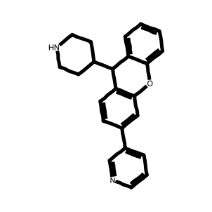 c1cncc(-c2ccc3c(c2)Oc2ccccc2C3C2CCNCC2)c1